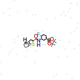 CC1(C)OB(c2ccc(F)c(NC(=O)c3cc4c(s3)C3CC[C@H]4C3)c2)OC1(C)C